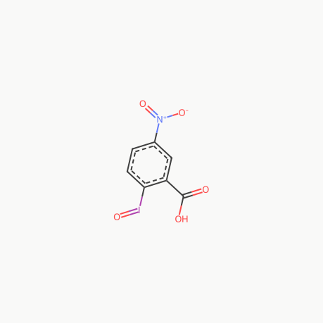 O=Ic1ccc([N+](=O)[O-])cc1C(=O)O